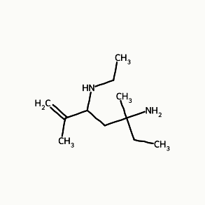 C=C(C)C(CC(C)(N)CC)NCC